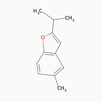 Cc1ccc2oc(C(C)C)cc2c1